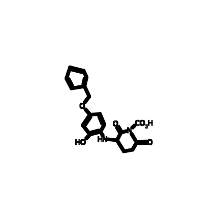 O=C(O)N1C(=O)CCC(Nc2ccc(OCc3ccccc3)cc2O)C1=O